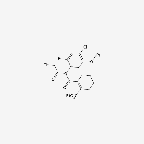 CCOC(=O)C1=C(C(=O)N(C(=O)CCl)c2cc(OC(C)C)c(Cl)cc2F)CCCC1